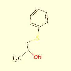 OC(CSc1ccccc1)C(F)(F)F